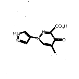 Cc1cn(-c2cn[nH]c2)nc(C(=O)O)c1=O